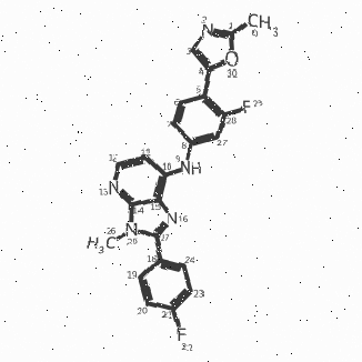 Cc1ncc(-c2ccc(Nc3ccnc4c3nc(-c3ccc(F)cc3)n4C)cc2F)o1